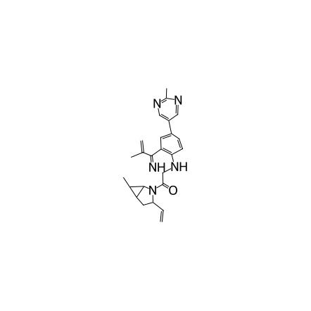 C=CC1CC2C(C)C2N1C(=O)CNc1ccc(-c2cnc(C)nc2)cc1C(=N)C(=C)C